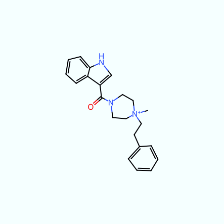 C[N+]1(CCc2ccccc2)CCN(C(=O)c2c[nH]c3ccccc23)CC1